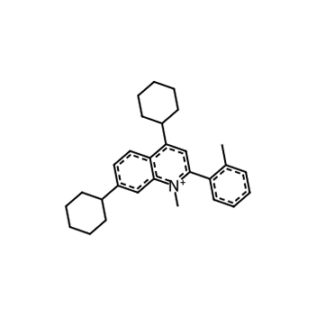 Cc1ccccc1-c1cc(C2CCCCC2)c2ccc(C3CCCCC3)cc2[n+]1C